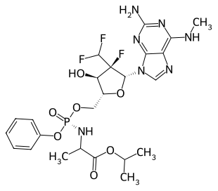 CNc1nc(N)nc2c1ncn2[C@@H]1O[C@H](CO[P@@](=O)(NC(C)C(=O)OC(C)C)Oc2ccccc2)[C@@H](O)[C@]1(F)C(F)F